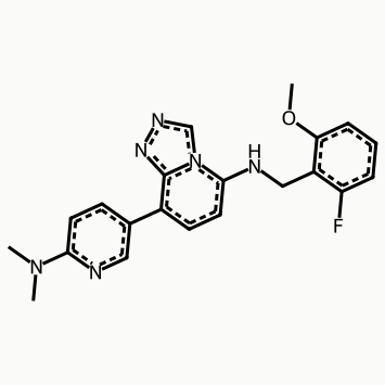 COc1cccc(F)c1CNc1ccc(-c2ccc(N(C)C)nc2)c2nncn12